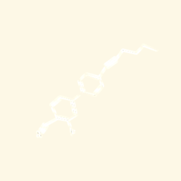 CCCCC#Cc1ccc(-c2ccc(C#N)c(F)c2)cc1